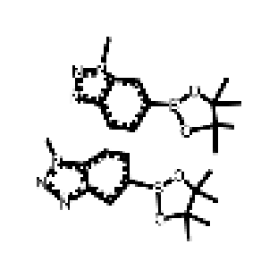 Cn1nnc2cc(B3OC(C)(C)C(C)(C)O3)ccc21.Cn1nnc2ccc(B3OC(C)(C)C(C)(C)O3)cc21